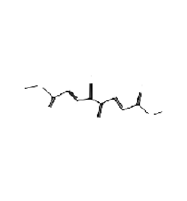 COC(=O)/C=C/C(=O)C(=O)/C=C/C(=O)OC